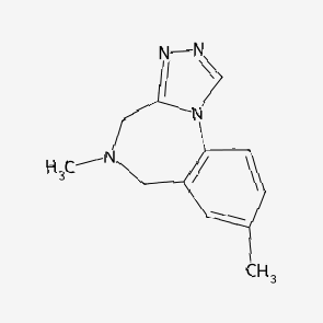 Cc1ccc2c(c1)CN(C)Cc1nncn1-2